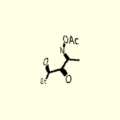 CCC(=O)C(=O)C(C)=NOC(C)=O